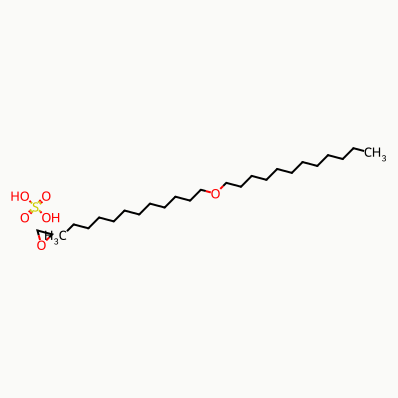 C1CO1.CCCCCCCCCCCCOCCCCCCCCCCCC.O=S(=O)(O)O